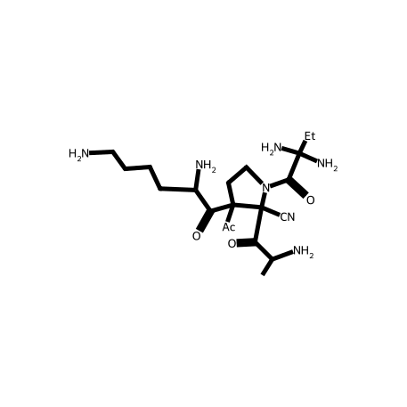 CCC(N)(N)C(=O)N1CCC(C(C)=O)(C(=O)C(N)CCCCN)C1(C#N)C(=O)C(C)N